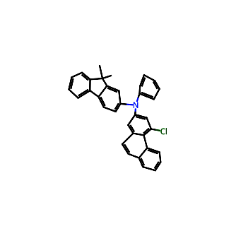 CC1(C)c2ccccc2-c2ccc(N(c3ccccc3)c3cc(Cl)c4c(ccc5ccccc54)c3)cc21